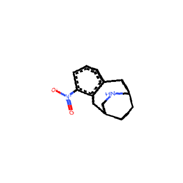 O=[N+]([O-])c1cccc2c1CC1CCC(C2)NC1